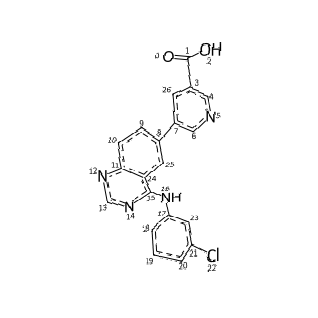 O=C(O)c1cncc(-c2ccc3ncnc(Nc4cccc(Cl)c4)c3c2)c1